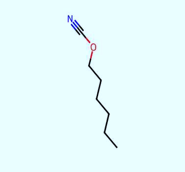 CCCCCCOC#N